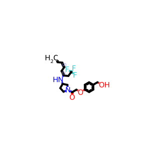 C=C/C=C\C=C(/CC(F)(F)F)NC1CCN(C(=O)COc2ccc(CO)cc2)C1